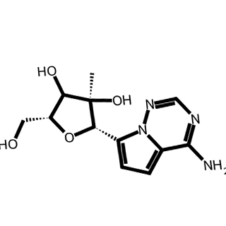 C[C@@]1(O)C(O)[C@@H](CO)O[C@H]1c1ccc2c(N)ncnn12